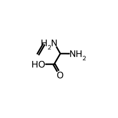 C=C.NC(N)C(=O)O